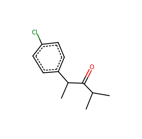 CC(C)C(=O)C(C)c1ccc(Cl)cc1